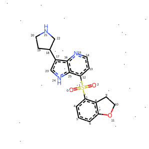 O=S(=O)(c1cccc2c1CCO2)c1ccnc2c(C3CCNC3)c[nH]c12